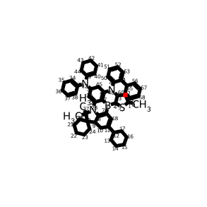 CC1CC2C(S1)B1C3=C4C(CC(C5CCCCC5)=C3)C3(CCCCC3)C(C)(C)N4C3=CC(N(C4=CCCC=C4)C4=CCCCC4)CC(=C13)N2c1ccccc1C1C=CC=CC1